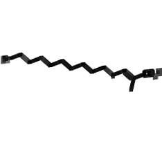 CC(=C[CH]CCCCCCCCCC(C)C)C(=O)O